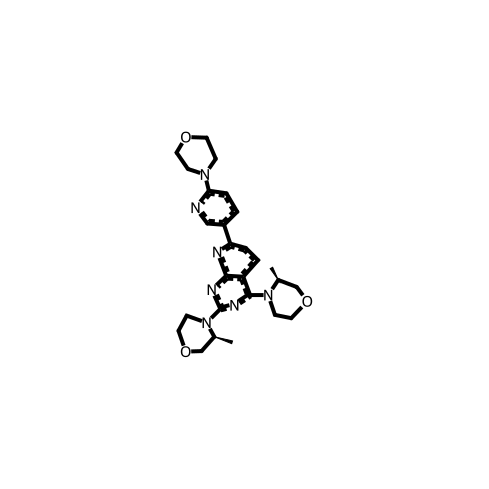 C[C@H]1COCCN1c1nc(N2CCOC[C@@H]2C)c2ccc(-c3ccc(N4CCOCC4)nc3)nc2n1